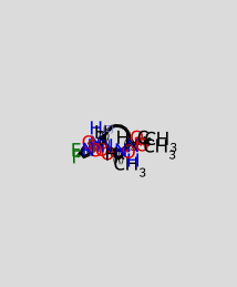 C[C@@H]1C[C@H]2C(=O)N[C@]3(C(=O)NS(=O)(=O)N4CCC(F)(F)C4)C[C@H]3/C=C\CCCCC[C@H](NC(=O)OC(C)(C)C)C(=O)N2C1